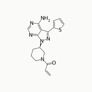 C=CC(=O)N1CCC[C@@H](n2nc(-c3cccs3)c3c(N)ncnc32)C1